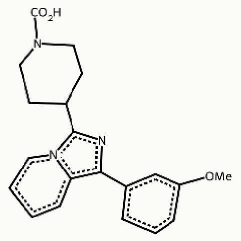 COc1cccc(-c2nc(C3CCN(C(=O)O)CC3)n3ccccc23)c1